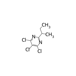 CCC(C)c1nc(Cl)c(Cl)c(Cl)n1